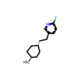 CCCC[C@H]1CC[C@H](CCc2ccc(F)nc2)CC1